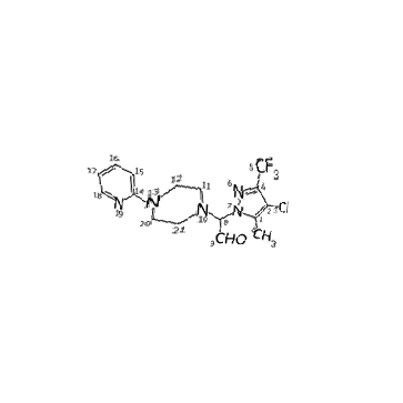 Cc1c(Cl)c(C(F)(F)F)nn1C(C=O)N1CCN(c2ccccn2)CC1